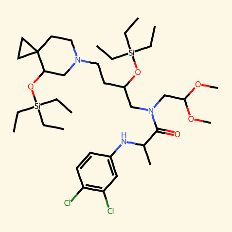 CC[Si](CC)(CC)OC(CCN1CCC2(CC2)C(O[Si](CC)(CC)CC)C1)CN(CC(OC)OC)C(=O)C(C)Nc1ccc(Cl)c(Cl)c1